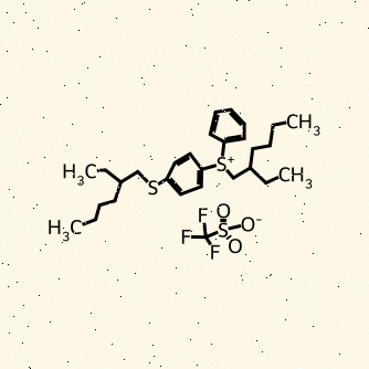 CCCCC(CC)CSc1ccc([S+](CC(CC)CCCC)c2ccccc2)cc1.O=S(=O)([O-])C(F)(F)F